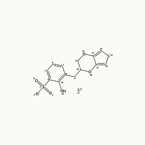 O=S(=O)([O-])c1cccc(CC2COc3cscc3O2)c1O.[Li+]